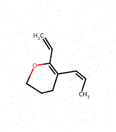 C=CC1=C(/C=C\C)CCCO1